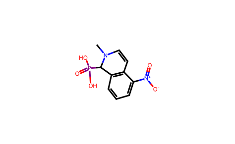 CN1C=Cc2c(cccc2[N+](=O)[O-])C1P(=O)(O)O